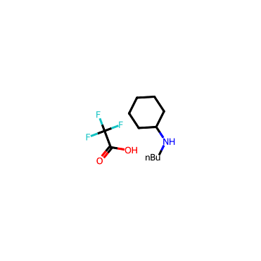 CCCCNC1CCCCC1.O=C(O)C(F)(F)F